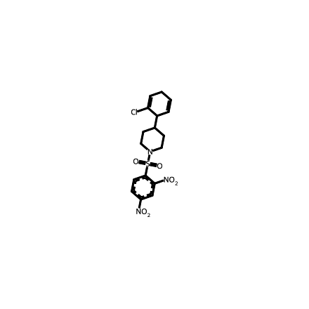 O=[N+]([O-])c1ccc(S(=O)(=O)N2CCC(C3C=CCC=C3Cl)CC2)c([N+](=O)[O-])c1